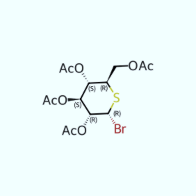 CC(=O)OC[C@H]1S[C@H](Br)[C@H](OC(C)=O)[C@@H](OC(C)=O)[C@@H]1OC(C)=O